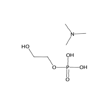 CN(C)C.O=P(O)(O)OCCO